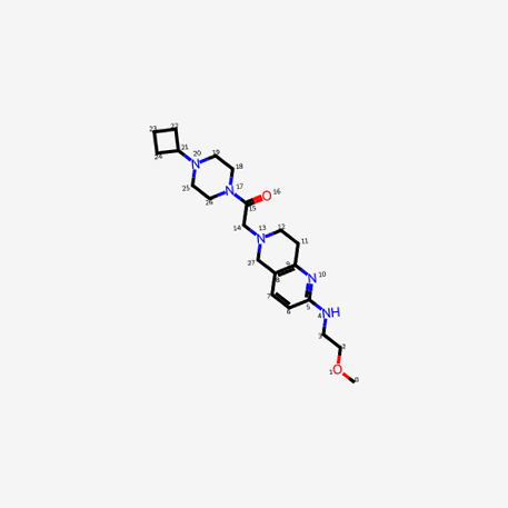 COCCNc1ccc2c(n1)CCN(CC(=O)N1CCN(C3CCC3)CC1)C2